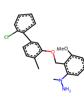 COc1cccc(N(C)N)c1COc1cc(-c2ccccc2Cl)ccc1C